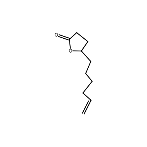 C=CCCCCC1CCC(=O)O1